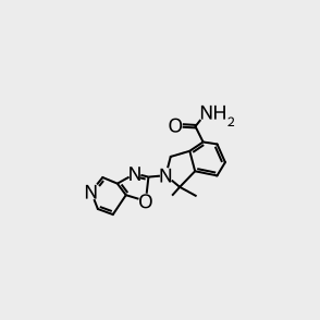 CC1(C)c2cccc(C(N)=O)c2CN1c1nc2cnccc2o1